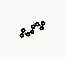 c1ccc2c(c1)c1ccccc1n2-c1ccc2oc3ccc(-c4ccc5sc6ccc(-n7c8ccccc8c8ccccc87)cc6c5c4)cc3c2c1